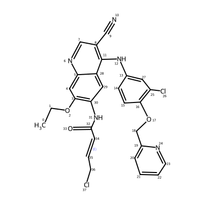 CCOc1cc2ncc(C#N)c(Nc3ccc(OCc4ccccn4)c(Cl)c3)c2cc1NC(=O)/C=C/CCl